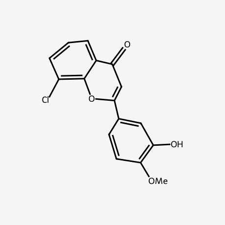 COc1ccc(-c2cc(=O)c3cccc(Cl)c3o2)cc1O